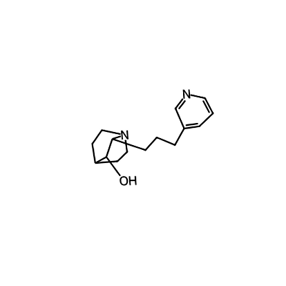 OC1C2CCN(CC2)C1CCCc1cccnc1